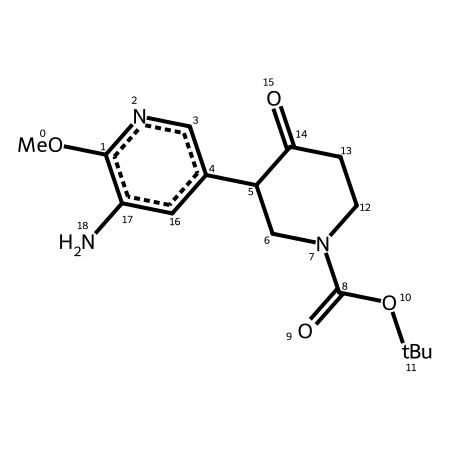 COc1ncc(C2CN(C(=O)OC(C)(C)C)CCC2=O)cc1N